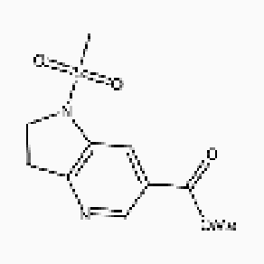 COC(=O)c1cnc2c(c1)N(S(C)(=O)=O)CC2